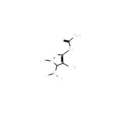 CCC(C)N(C)C1C(C#N)=C(NC(N)=O)SN1CC